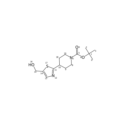 CC(C)(C)OC(=O)N1CCC(c2ncc(CO)s2)CC1